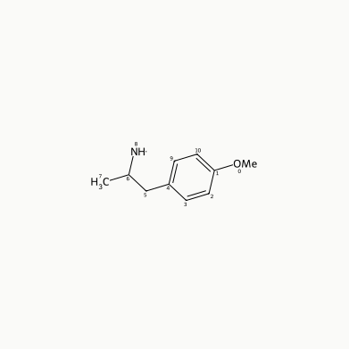 COc1ccc(CC(C)[NH])cc1